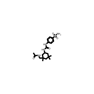 CC(=O)NCC1(C)CC(NC(=O)Nc2ccc(S(N)(=O)=O)cc2)CC(C)(C)C1